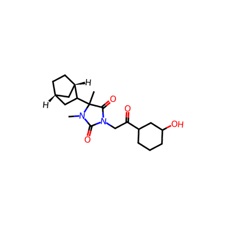 CN1C(=O)N(CC(=O)C2CCCC(O)C2)C(=O)C1(C)C1C[C@@H]2CC[C@H]1C2